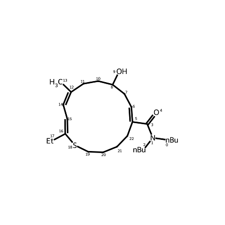 CCCCN(CCCC)C(=O)/C1=C/CC(O)CC/C(C)=C\C=C(/CC)SCCCC1